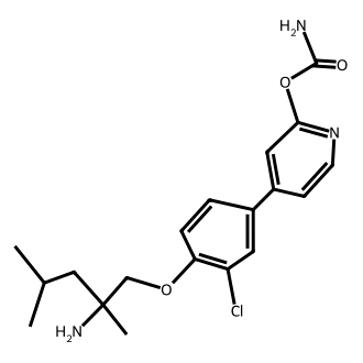 CC(C)CC(C)(N)COc1ccc(-c2ccnc(OC(N)=O)c2)cc1Cl